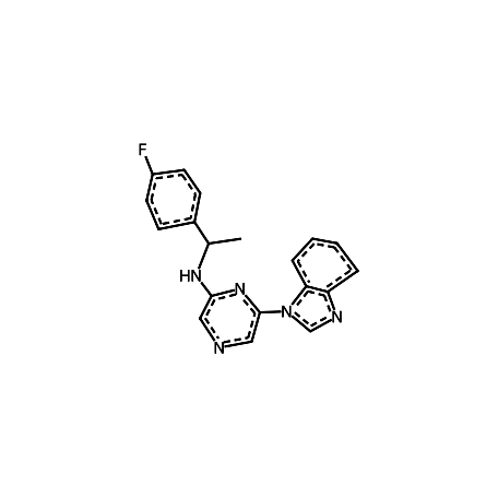 CC(Nc1cncc(-n2cnc3ccccc32)n1)c1ccc(F)cc1